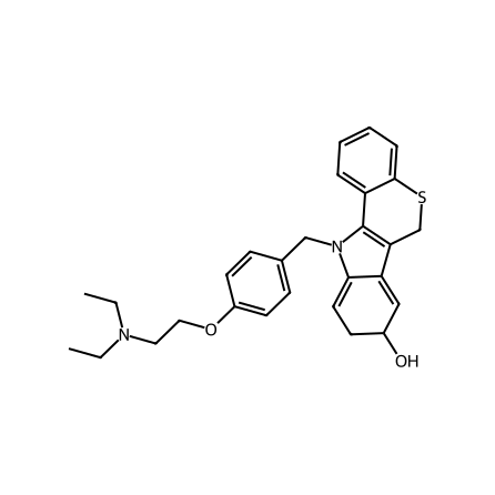 CCN(CC)CCOc1ccc(Cn2c3c(c4c2=CCC(O)C=4)CSc2ccccc2-3)cc1